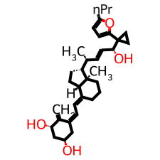 C=C1/C(=C\C=C2/CCC[C@]3(C)[C@@H]([C@H](C)/C=C/[C@@H](O)C4(c5ccc(CCC)o5)CC4)CC[C@@H]23)C[C@@H](O)C[C@@H]1O